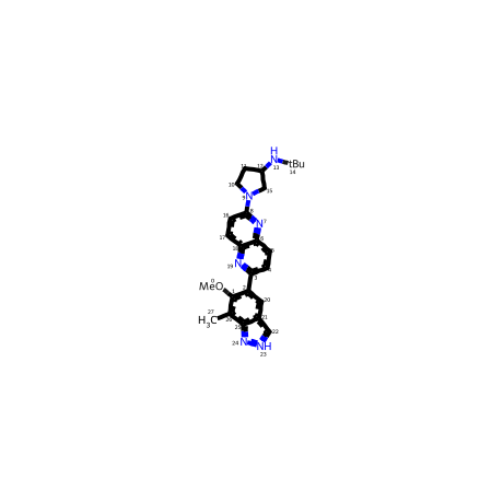 COc1c(-c2ccc3nc(N4CCC(NC(C)(C)C)C4)ccc3n2)cc2c[nH]nc2c1C